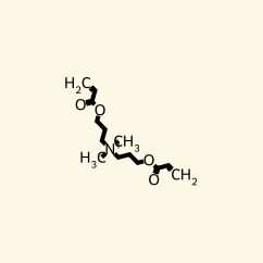 C=CC(=O)OCCC[N+](C)(C)CCCOC(=O)C=C